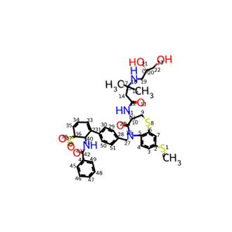 CSc1ccc2c(c1)SC[C@@H](NC(=O)CC(C)(C)NC[C@H](O)CO)C(=O)N2Cc1ccc(C2=CC=CC(=S(=O)=O)C2NC(=O)c2ccccc2)cc1